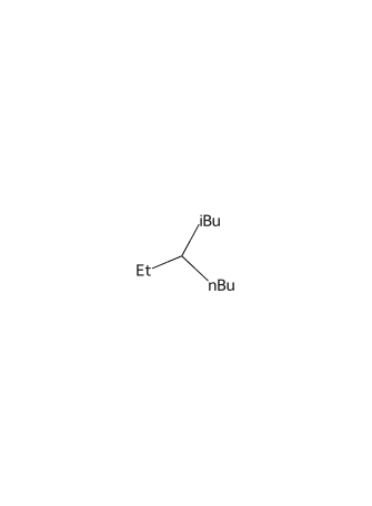 [CH2]C(CC)C(CC)CCCC